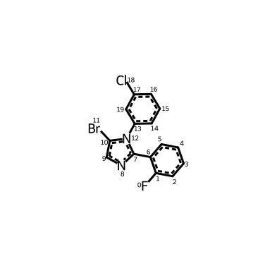 Fc1ccccc1-c1ncc(Br)n1-c1cccc(Cl)c1